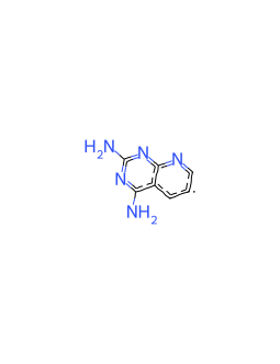 Nc1nc(N)c2c[c]cnc2n1